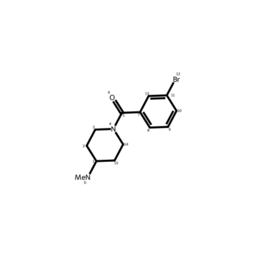 CNC1CCN(C(=O)c2cccc(Br)c2)CC1